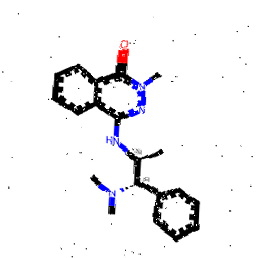 C[C@H](Nc1nn(C)c(=O)c2ccccc12)[C@H](c1ccccc1)N(C)C